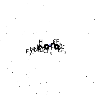 C[C@@H](NC(=O)c1ccc(/C(F)=C/C(c2ccc(C(F)(F)F)c(Br)c2)C(F)(F)F)cc1C(F)(F)F)C(=O)NCC(F)(F)F